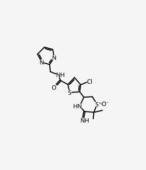 CC1(C)C(=N)NC(c2sc(C(=O)NCc3ncccn3)cc2Cl)C[S+]1[O-]